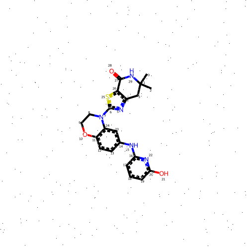 CC1(C)Cc2nc(N3CCOc4ccc(Nc5cccc(O)n5)cc43)sc2C(=O)N1